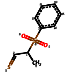 CC([C]=S)S(=O)(=O)c1ccccc1